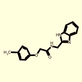 Cc1ccc(OCC(=O)NCc2nc3ccccc3[nH]2)cc1